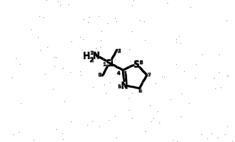 C[Si](C)(N)C1=NCCS1